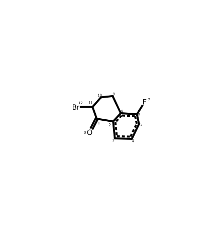 O=C1c2cccc(F)c2CCC1Br